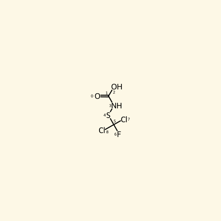 O=C(O)NSC(F)(Cl)Cl